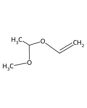 C=COC(C)OC